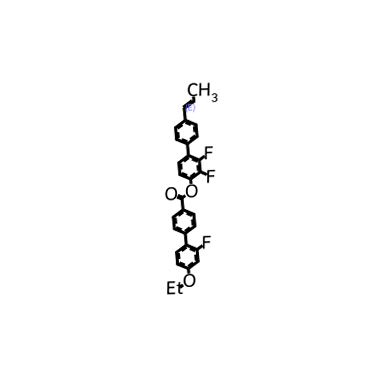 C/C=C/c1ccc(-c2ccc(OC(=O)c3ccc(-c4ccc(OCC)cc4F)cc3)c(F)c2F)cc1